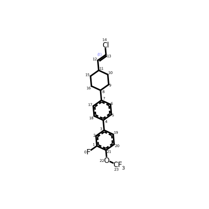 Fc1cc(-c2ccc(C3CCC(/C=C/Cl)CC3)cc2)ccc1OC(F)(F)F